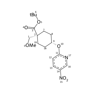 COC[C@]1(C(=O)OC(C)(C)C)CC[C@H](Oc2ccc([N+](=O)[O-])cn2)CC1